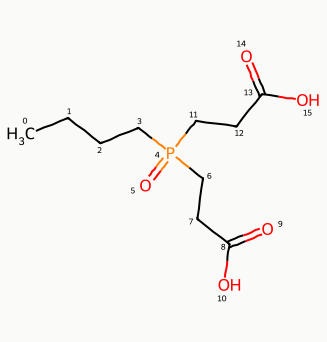 CCCCP(=O)(CCC(=O)O)CCC(=O)O